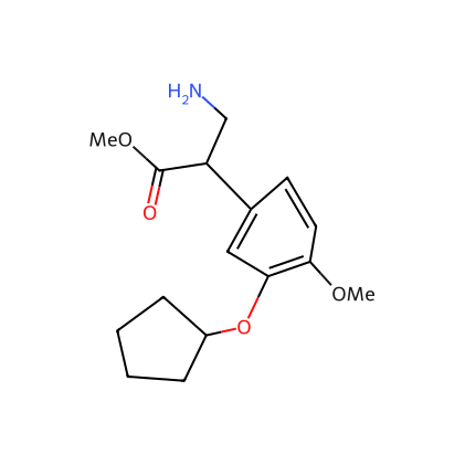 COC(=O)C(CN)c1ccc(OC)c(OC2CCCC2)c1